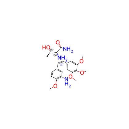 COc1ccc(/C=C\c2cc(OC)c(OC)c(OC)c2)cc1N.C[C@@H](O)[C@H](N)C(N)=O